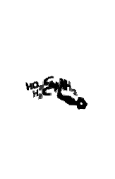 C[C@@H](C(=O)O)N(N)CCCc1ccccc1